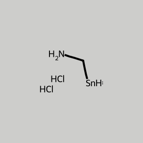 Cl.Cl.N[CH2][SnH]